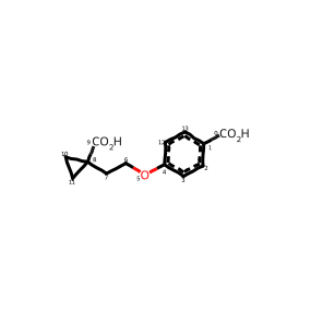 O=C(O)c1ccc(OCCC2(C(=O)O)CC2)cc1